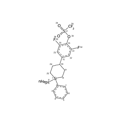 CCCCCCC[Si]1(c2ccccc2)CCC(c2cc(F)c(OS(=O)(=O)C(F)(F)F)c(F)c2)CC1